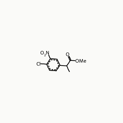 COC(=O)C(C)c1ccc(Cl)c([N+](=O)[O-])c1